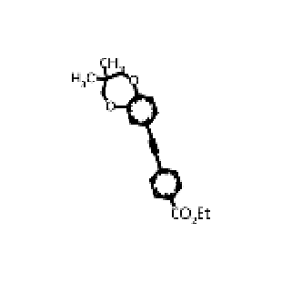 CCOC(=O)c1ccc(C#Cc2ccc3c(c2)OCC(C)(C)CO3)cc1